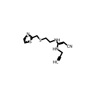 C#CCNC(=CC#N)NCCSCc1nccs1